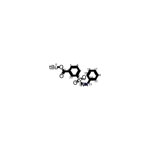 CC(C)(C)OC(=O)c1cccc(S(=O)(=O)/N=I\c2ccccc2)c1